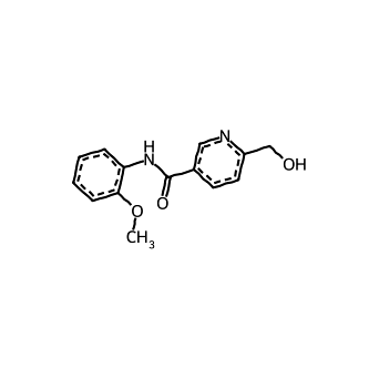 COc1ccccc1NC(=O)c1ccc(CO)nc1